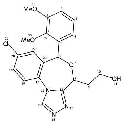 COc1cccc(C2OC(CCO)c3nncn3-c3ccc(Cl)cc32)c1OC